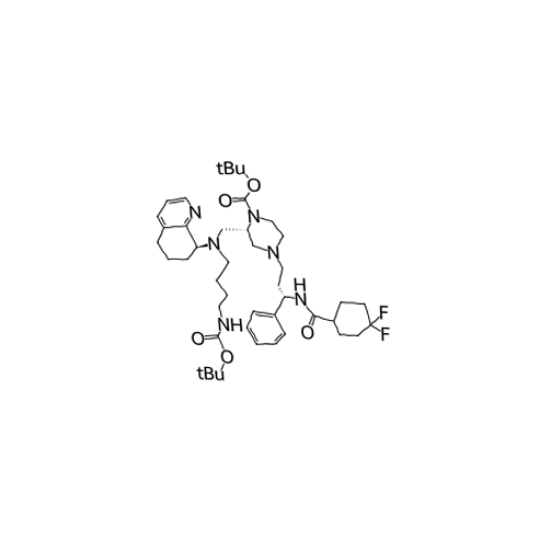 CC(C)(C)OC(=O)NCCCCN(C[C@H]1CN(CC[C@H](NC(=O)C2CCC(F)(F)CC2)c2ccccc2)CCN1C(=O)OC(C)(C)C)[C@H]1CCCc2cccnc21